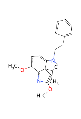 COC1=CC23C(=CC=C(OC)C2=N1)N(CCc1ccccc1)CCC3C